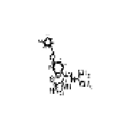 CC(C)=NN=C(c1ccc(OCc2cccs2)cc1)C1NCNC1=O